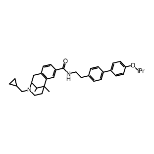 CC(C)Oc1ccc(-c2ccc(CCNC(=O)c3ccc4c(c3)C3(C)CCN(CC5CC5)C(C4)C3C)cc2)cc1